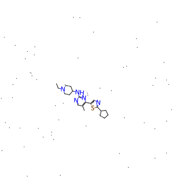 CCN1CCC(Nc2ncc(C)c(-c3cnc(C4CCCC4)s3)n2)CC1